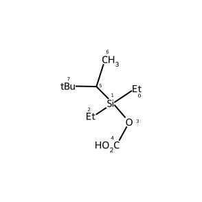 CC[Si](CC)(OC(=O)O)C(C)C(C)(C)C